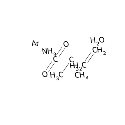 C.C=C.CC.N.O.O=C=O.[Ar]